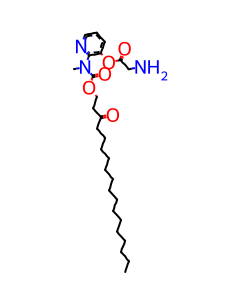 CCCCCCCCCCCCCCCC(=O)CCOC(=O)N(C)c1ncccc1OC(=O)CN